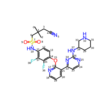 CC(C)(CC#N)CS(=O)(=O)Nc1ccc(Oc2ncccc2-c2ccnc(NC3CCCNC3)n2)c(F)c1F